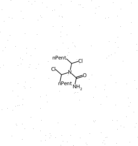 CCCCCC(Cl)N(C(N)=O)C(Cl)CCCCC